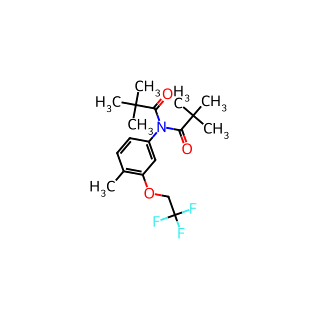 Cc1ccc(N(C(=O)C(C)(C)C)C(=O)C(C)(C)C)cc1OCC(F)(F)F